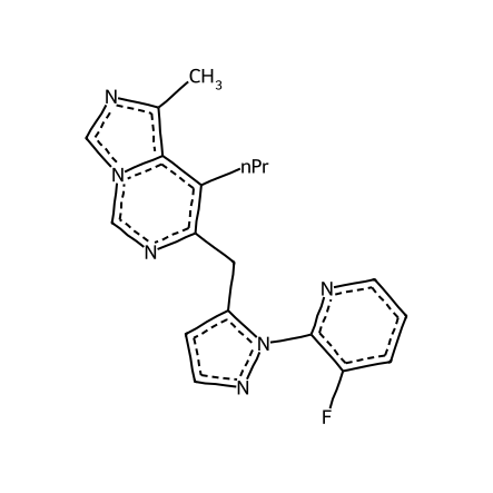 CCCc1c(Cc2ccnn2-c2ncccc2F)ncn2cnc(C)c12